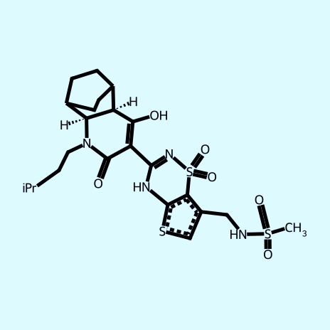 CC(C)CCN1C(=O)C(C2=NS(=O)(=O)c3c(CNS(C)(=O)=O)csc3N2)=C(O)[C@@H]2C3CCC(CC3)[C@@H]21